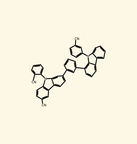 N#Cc1cccc(-n2c3ccccc3c3cccc(-c4cccc(-c5ccc6c7cc(C#N)ccc7n(-c7ccccc7C#N)c6c5)c4)c32)c1